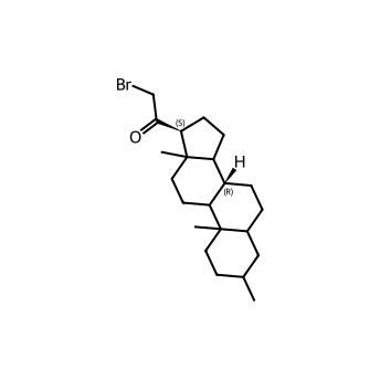 CC1CCC2(C)C(CC[C@@H]3C2CCC2(C)C3CC[C@@H]2C(=O)CBr)C1